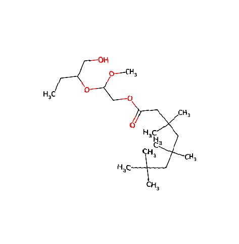 CCC(CO)OC(COC(=O)CC(C)(C)CC(C)(C)CC(C)(C)C)OC